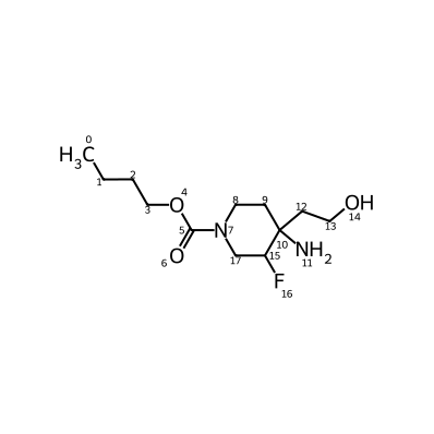 CCCCOC(=O)N1CCC(N)(CCO)C(F)C1